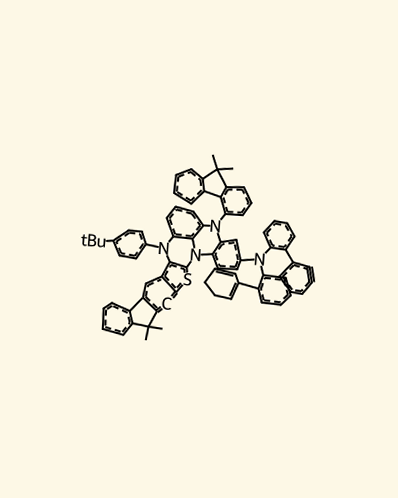 CC(C)(C)c1ccc(N2c3cccc4c3N(c3ccc(N(c5ccccc5C5=CCCC=C5)c5ccccc5-c5c#cccc5)cc3N4c3cccc4c3-c3ccccc3C4(C)C)c3sc4cc5c(cc4c32)-c2ccccc2C5(C)C)cc1